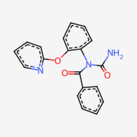 NC(=O)N(C(=O)c1ccccc1)c1ccccc1Oc1ccccn1